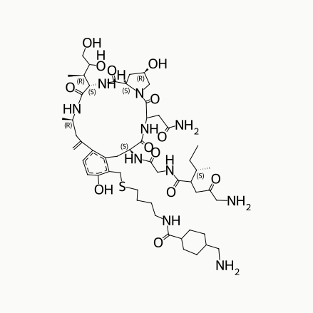 C=C1C[C@@H](C)NC(=O)[C@H]([C@@H](C)C(O)CO)NC(=O)[C@@H]2C[C@@H](O)CN2C(=O)C(CC(N)=O)NC(=O)[C@@H](NC(=O)CNC(=O)C(CC(=O)CN)[C@@H](C)CC)Cc2c1ccc(O)c2CSCCCCNC(=O)C1CCC(CN)CC1